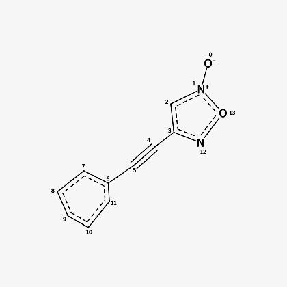 [O-][n+]1cc(C#Cc2ccccc2)no1